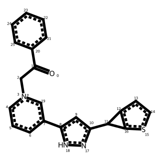 O=C(C[n+]1cccc(-c2cc(C3c4ccsc43)n[nH]2)c1)c1ccccc1